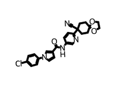 N#CC1(c2ccc(NC(=O)c3ccn(-c4ccc(Cl)cc4)c3)cn2)CCC2(CC1)OCCO2